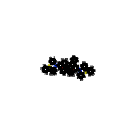 c1ccc(N(c2ccc3c4c(ccc3c2)-c2c(c3ccc(N(c5ccccc5)c5cccc6c5sc5ccccc56)cc3c3ccccc23)C4(c2ccccc2)c2ccccc2)c2cccc3c2sc2ccccc23)cc1